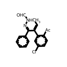 C/C=C(\C(=N/NC=O)c1ccccc1)c1cc(Cl)ccc1C(C)=O